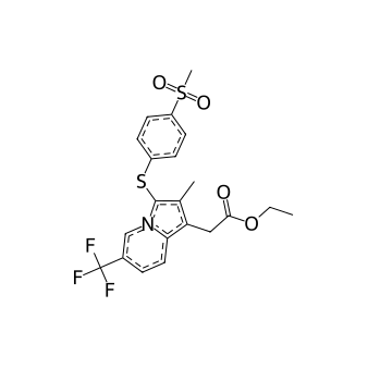 CCOC(=O)Cc1c(C)c(Sc2ccc(S(C)(=O)=O)cc2)n2cc(C(F)(F)F)ccc12